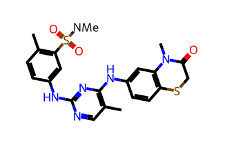 CNS(=O)(=O)c1cc(Nc2ncc(C)c(Nc3ccc4c(c3)N(C)C(=O)CS4)n2)ccc1C